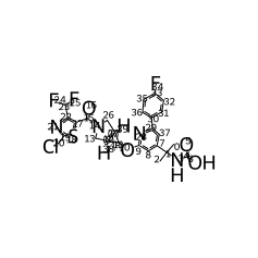 CC(C)(NC(=O)O)c1cc(O[C@@H]2[C@@H]3CN(C(=O)c4sc(Cl)nc4C(F)F)C[C@@H]32)nc(-c2ccc(F)cc2)c1